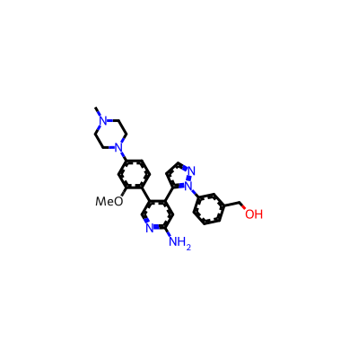 COc1cc(N2CCN(C)CC2)ccc1-c1cnc(N)cc1-c1ccnn1-c1cccc(CO)c1